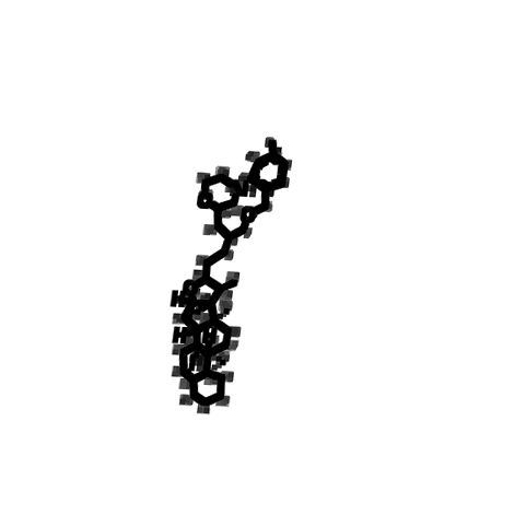 Cc1ccc(COCC(CCC2O[C@H]3C[C@H]4[C@@H]5CCC6CCCC[C@]6(C)[C@H]5CC[C@]4(C)[C@H]3[C@@H]2C)CC2CNCCO2)cc1